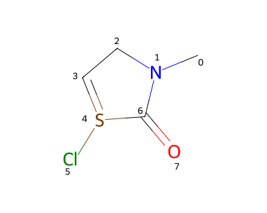 CN1CC=S(Cl)C1=O